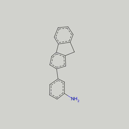 Nc1cccc(-c2ccc3c(c2)Cc2ccccc2-3)c1